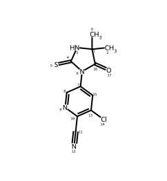 CC1(C)NC(=S)N(c2cnc(C#N)c(Cl)c2)C1=O